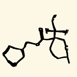 CC1CCC(C(=O)OCc2ccccc2)(C(F)(F)F)CC1